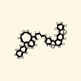 C=C(/C=C\C=C\c1ccc2oc3ccc4cc5oc6ccccc6c5cc4c3c2c1)c1ccccccc(-c2ccc3ccccc3c2)c2ccccc12